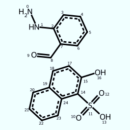 NNc1ccccc1C=O.O=S(=O)(O)c1c(O)ccc2ccccc12